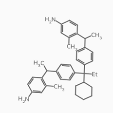 CCC(c1ccc(C(C)c2ccc(N)cc2C)cc1)(c1ccc(C(C)c2ccc(N)cc2C)cc1)C1CCCCC1